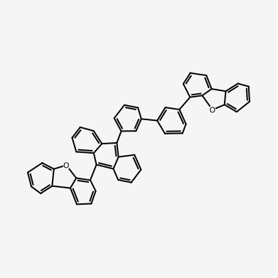 c1cc(-c2cccc(-c3cccc4c3oc3ccccc34)c2)cc(-c2c3ccccc3c(-c3cccc4c3oc3ccccc34)c3ccccc23)c1